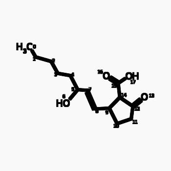 CCCCCC(O)C=CC1CCC(=O)C1C(=O)O